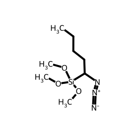 CCCCC(N=[N+]=[N-])[Si](OC)(OC)OC